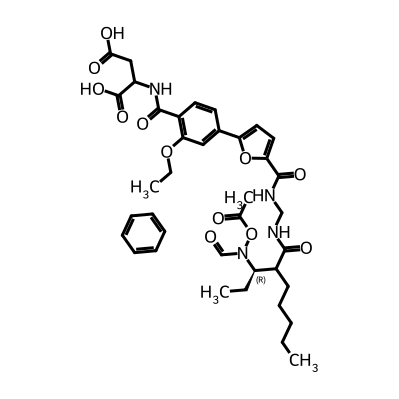 CCCCCC(C(=O)NCNC(=O)c1ccc(-c2ccc(C(=O)NC(CC(=O)O)C(=O)O)c(OCC)c2)o1)[C@@H](CC)N(C=O)OC(C)=O.c1ccccc1